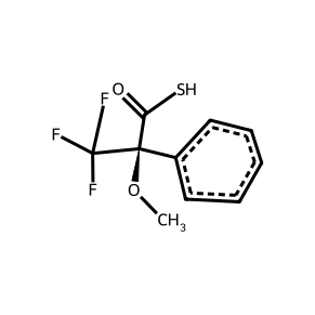 CO[C@@](C(=O)S)(c1ccccc1)C(F)(F)F